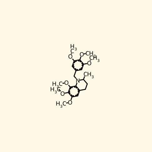 COc1cc(CN2c3c(cc(OC)c(OC)c3OC)CCC2C)cc(OC)c1OC